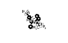 COC(=O)c1cc(F)c(N2C[C@H](CN(C(=O)OC(C)(C)C)[C@H](C)c3cccc4ccccc34)[C@@H](c3ccccc3)C2)c(F)c1